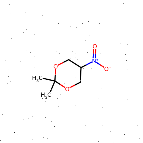 CC1(C)OC[C]([N+](=O)[O-])CO1